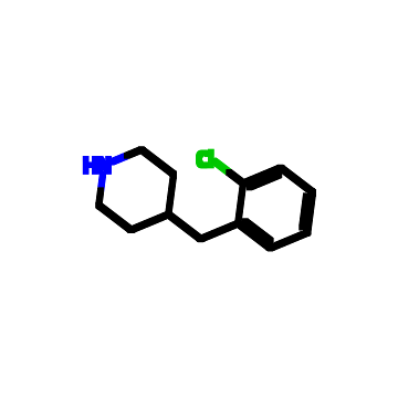 Clc1ccccc1CC1CCNCC1